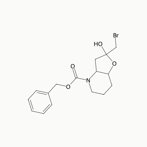 O=C(OCc1ccccc1)N1CCCC2OC(O)(CBr)CC21